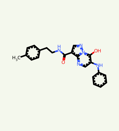 Cc1ccc(CCNC(=O)c2cnn3c(O)c(Nc4ccccc4)cnc23)cc1